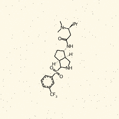 CC(C)[C@@H](CC(=O)N[C@H]1CC[C@@H]2C(S(=O)(=O)c3cccc(C(F)(F)F)c3)NC[C@H]12)N(C)C